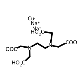 O=C([O-])CN(CCN(CC(=O)[O-])CC(=O)O)CC(=O)O.[Cu].[Na+].[Na+]